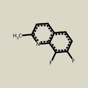 Cc1ccc2ccc(F)c(F)c2n1